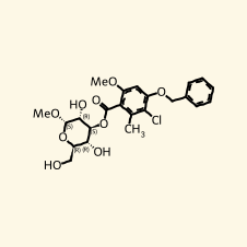 COc1cc(OCc2ccccc2)c(Cl)c(C)c1C(=O)O[C@@H]1[C@@H](O)[C@@H](OC)O[C@H](CO)[C@H]1O